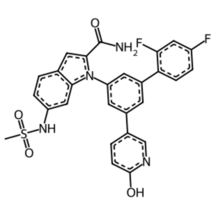 CS(=O)(=O)Nc1ccc2cc(C(N)=O)n(-c3cc(-c4ccc(O)nc4)cc(-c4ccc(F)cc4F)c3)c2c1